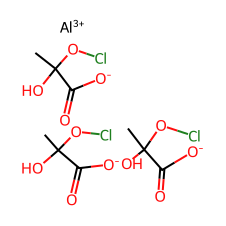 CC(O)(OCl)C(=O)[O-].CC(O)(OCl)C(=O)[O-].CC(O)(OCl)C(=O)[O-].[Al+3]